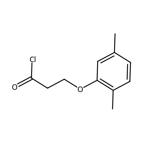 Cc1ccc(C)c(OCCC(=O)Cl)c1